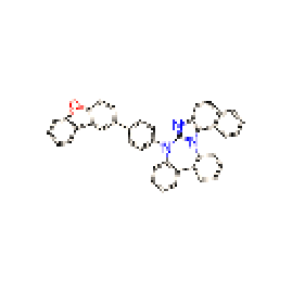 c1ccc2c(c1)-c1ccccc1-n1c(nc3ccc4ccccc4c31)N2c1ccc(-c2ccc3oc4ccccc4c3c2)cc1